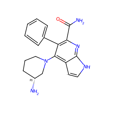 NC(=O)c1nc2[nH]c[c]c2c(N2CCC[C@@H](N)C2)c1-c1ccccc1